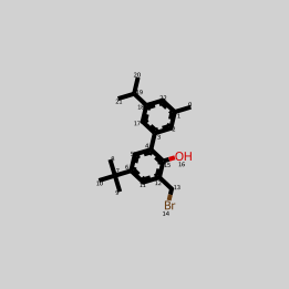 Cc1cc(-c2cc(C(C)(C)C)cc(CBr)c2O)cc(C(C)C)c1